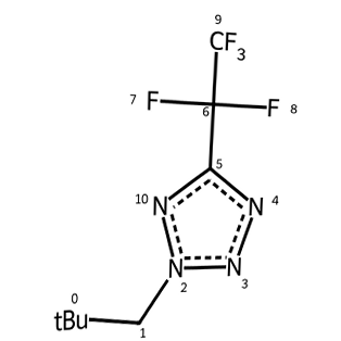 CC(C)(C)Cn1nnc(C(F)(F)C(F)(F)F)n1